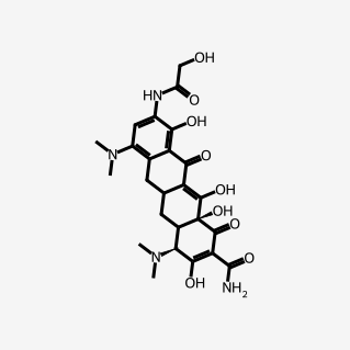 CN(C)c1cc(NC(=O)CO)c(O)c2c1CC1CC3[C@H](N(C)C)C(O)=C(C(N)=O)C(=O)[C@@]3(O)C(O)=C1C2=O